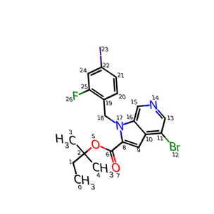 CCC(C)(C)OC(=O)c1cc2c(Br)cncc2n1Cc1ccc(I)cc1F